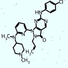 C=CCn1c(=O)c2cnc(Nc3ccc(Cl)cc3)nc2n1-c1cccc(N(C)C2CCN(C)CC2)n1